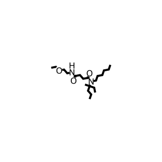 CCCCCCN(C(=O)CCC(=O)NCCOCC)C(C)(CC)CCC